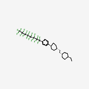 CC[C@H]1CC[C@H](CC[C@H]2CC[C@H](c3ccc(C(F)(F)C(F)(F)C(F)(F)C(F)(F)C(F)(F)C(F)(F)C(F)(F)C(F)(F)F)cc3)CC2)CC1